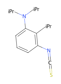 CC(C)c1c(N=C=S)cccc1N(C(C)C)C(C)C